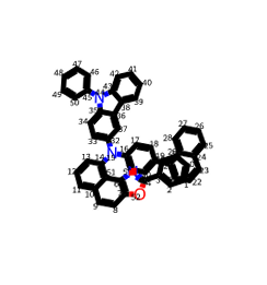 c1ccc(-c2nc3c(ccc4cccc(N(c5ccc(-c6cccc7ccccc67)cc5)c5ccc6c(c5)c5ccccc5n6-c5ccccc5)c43)o2)cc1